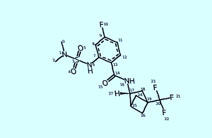 CN(C)S(=O)(=O)Nc1cc(F)ccc1C(=O)N[C@@H]1CC2(C(F)(F)F)CC1C2